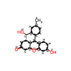 Cc1ccc(-c2c3ccc(=O)cc-3oc3cc(O)ccc23)c(CO)c1